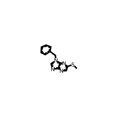 CSc1cnc2ncn(Cc3ccccc3)c2n1